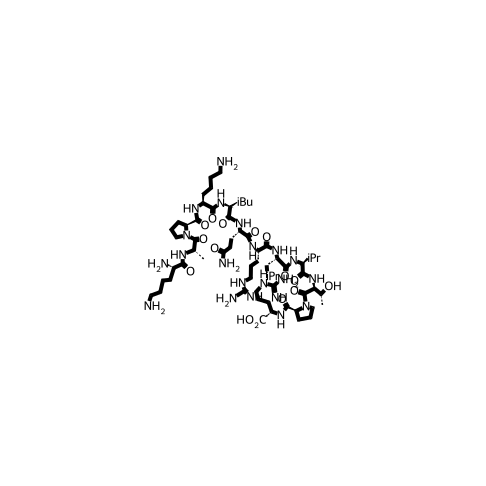 CC[C@H](C)[C@H](NC(=O)[C@H](CCCCN)NC(=O)[C@@H]1CCCN1C(=O)[C@H](C)NC(=O)[C@@H](N)CCCCN)C(=O)N[C@@H](CCC(N)=O)C(=O)N[C@@H](CCCNC(=N)N)C(=O)N[C@@H](CC(C)C)C(=O)N[C@H](C(=O)N[C@H](C(=O)N1CCC[C@H]1C(=O)N[C@@H](CCCNC(=N)N)C(=O)O)[C@@H](C)O)C(C)C